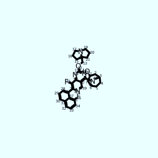 OC1CC2CCC(C1)N(c1nc(OCC34CCCN3CCC4)nc3c(F)c(-c4cccc5cccc(F)c45)ncc13)C2